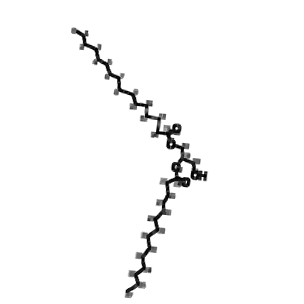 CCCCCCCCCCCCCCCC(=O)OCC(CO)OC(=O)CCCCCCCCCCCCC